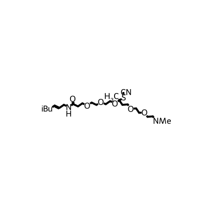 CCC(C)/C=C/CNC(=O)CCOCCOCCOC(C)(CCOCCOCCNC)SC#N